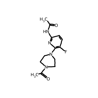 CC(=O)Nc1ccc(F)c(N2CCN(C(C)=O)CC2)n1